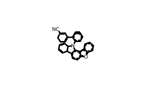 N#CC1=CC(c2c#cccc2N2c3c(ccc4oc5ccccc5c34)C3C=CC=CC32)=CCC1